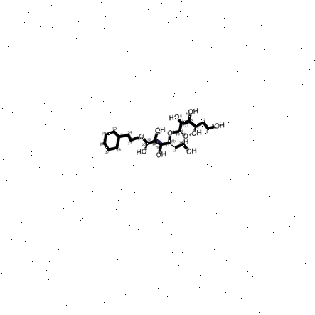 OCC[C@@H](O)/C(O)=C(/O)[C@H](O)O[C@H](CCO)/C(O)=C(\O)[C@@H](O)OCCC1CCCCC1